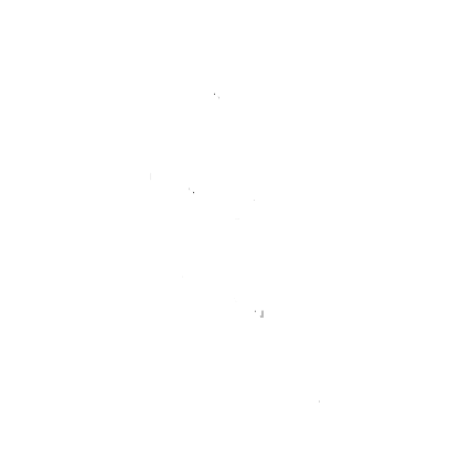 C=c1ccc(C(=O)NCCOC)c(C)/c1=C/N(C)CC1CCN(C)CC1